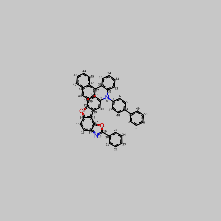 c1ccc(-c2ccc(N(c3ccc4oc5ccc6nc(-c7ccccc7)oc6c5c4c3)c3ccccc3-c3cccc4ccccc34)cc2)cc1